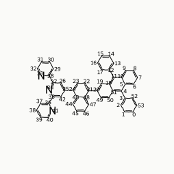 c1ccc(-c2c3ccccc3c(-c3ccccc3)c3cc(-c4ccc(-c5cc(-c6ccccn6)nc(-c6ccccn6)c5)c5ccccc45)ccc23)cc1